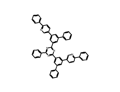 c1ccc(-c2cc(-c3ccc(-c4ccccc4)nc3)cc(-c3nc(-c4ccccc4)nc(-c4cc(-c5ccccc5)cc(-c5ccc(-c6ccccc6)nc5)c4)n3)c2)cc1